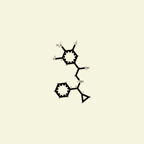 Nc1c(Cl)cc(C(O)CNC(c2ccccc2)C2CC2)cc1Cl